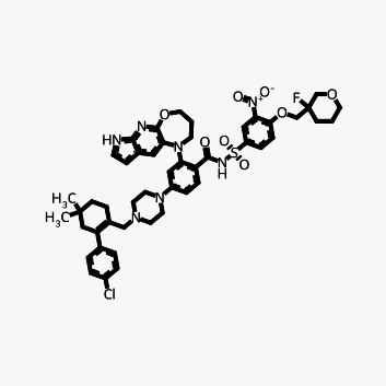 CC1(C)CCC(CN2CCN(c3ccc(C(=O)NS(=O)(=O)c4ccc(OCC5(F)CCCOC5)c([N+](=O)[O-])c4)c(N4CCCOc5nc6[nH]ccc6cc54)c3)CC2)=C(c2ccc(Cl)cc2)C1